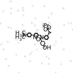 CC(C)OC(=O)C1CC1c1cccc(N(Cc2ccc(-c3ccc(N(C)C)cc3)nc2)C(=O)C2CCC(O)CC2)c1